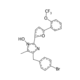 Cc1c(Cc2ccc(Br)cc2)nc(-c2ccc(-c3ccccc3OC(F)(F)F)o2)n1O